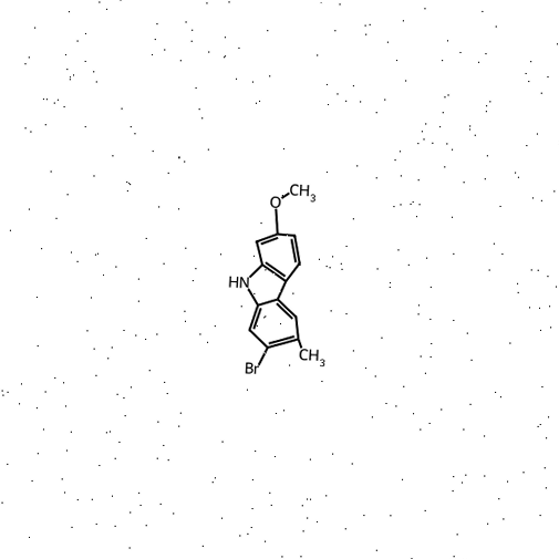 COc1ccc2c(c1)[nH]c1cc(Br)c(C)cc12